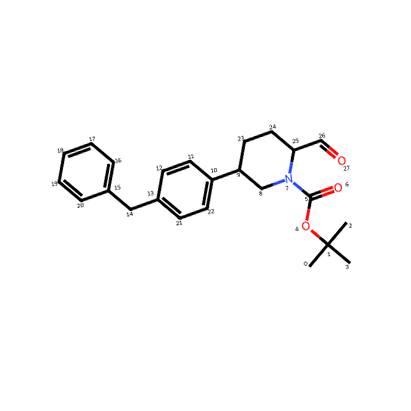 CC(C)(C)OC(=O)N1CC(c2ccc(Cc3ccccc3)cc2)CCC1C=O